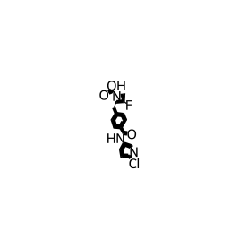 O=C(Nc1ccc(Cl)nc1)c1ccc(C[C@H]2[C@@H](F)CN2C(=O)O)cc1